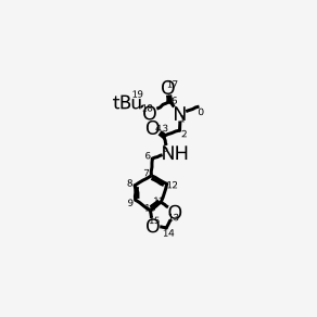 CN(CC(=O)NCc1ccc2c(c1)OCO2)C(=O)OC(C)(C)C